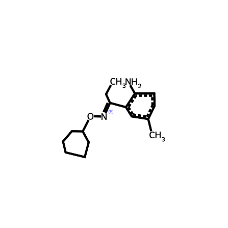 CC/C(=N\OC1CCCCC1)c1cc(C)ccc1N